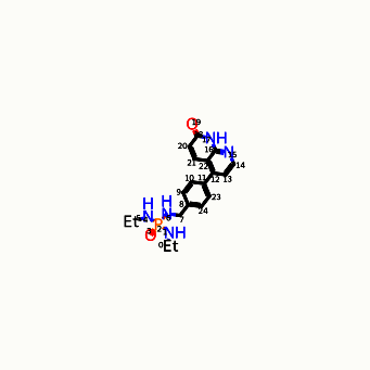 CCNP(=O)(NCC)NCc1ccc(-c2ccnc3[nH]c(=O)ccc23)cc1